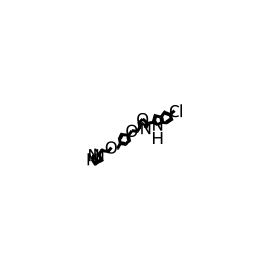 Clc1ccc2[nH]c(-c3nc(COc4ccc(COCCn5ccnn5)cc4)co3)cc2c1